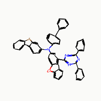 c1ccc(-c2ccc(N(c3cc(-c4nc(-c5ccccc5)nc(-c5ccccc5)n4)c4c(c3)oc3ccccc34)c3ccc4c(c3)sc3ccccc34)cc2)cc1